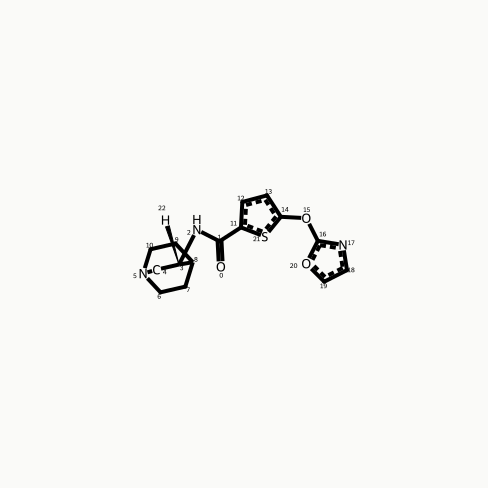 O=C(N[C@H]1CN2CCC1CC2)c1ccc(Oc2ncco2)s1